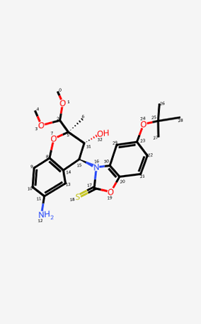 COC(OC)[C@]1(C)Oc2ccc(N)cc2[C@H](n2c(=S)oc3ccc(OC(C)(C)C)cc32)[C@H]1O